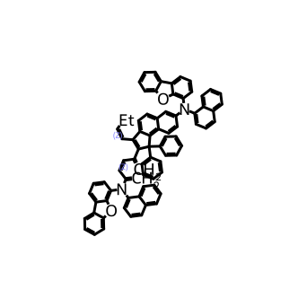 C=C(/C=C\C(=C)N(c1cccc2ccccc12)c1cccc2c1oc1ccccc12)C1=C(/C=C\CC)c2ccc3cc(N(c4cccc5ccccc45)c4cccc5c4oc4ccccc45)ccc3c2C1(c1ccccc1)c1ccccc1